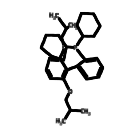 CC(C)COc1cccc(OCC(C)C)c1-c1ccccc1P(C1CCCCC1)C1CCCCC1